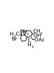 CC(=O)OC[C@H]1[C@@]2(C)CC[C@H](Br)C(C)(C)[C@@H]2CC[C@@]1(C)O